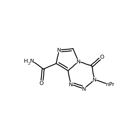 CCCn1nnc2c(C(N)=O)ncn2c1=O